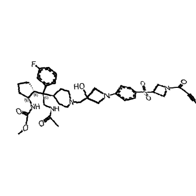 CC#CC(=O)N1CC(S(=O)(=O)c2ccc(N3CC(O)(CN4CCC([C@@](CNC(C)=O)(c5cccc(F)c5)[C@H]5CCC[C@@H]5NC(=O)OC)CC4)C3)cc2)C1